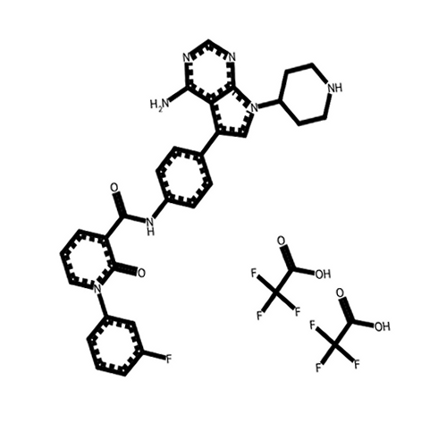 Nc1ncnc2c1c(-c1ccc(NC(=O)c3cccn(-c4cccc(F)c4)c3=O)cc1)cn2C1CCNCC1.O=C(O)C(F)(F)F.O=C(O)C(F)(F)F